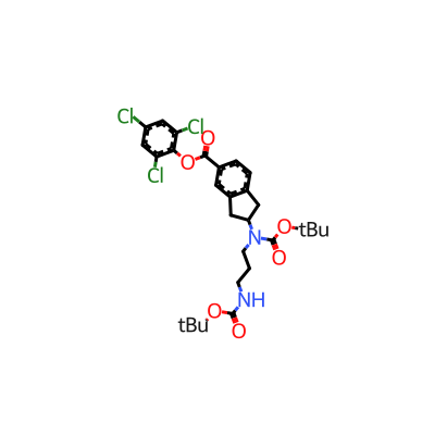 CC(C)(C)OC(=O)NCCCN(C(=O)OC(C)(C)C)C1Cc2ccc(C(=O)Oc3c(Cl)cc(Cl)cc3Cl)cc2C1